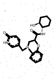 O=C(N[C@H]1CCCC[C@@H]1O)C1CN(Cc2ccc(=O)[nH]c2)c2ccccc2O1